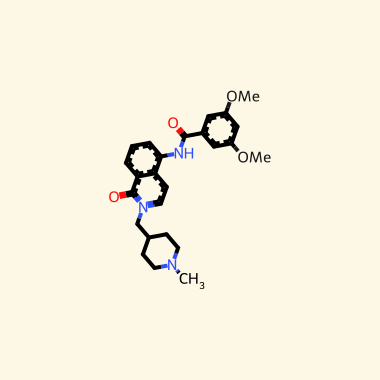 COc1cc(OC)cc(C(=O)Nc2cccc3c(=O)n(CC4CCN(C)CC4)ccc23)c1